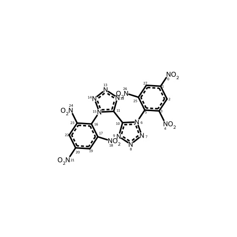 O=[N+]([O-])c1cc([N+](=O)[O-])c(-n2nnnc2-c2nnnn2-c2c([N+](=O)[O-])cc([N+](=O)[O-])cc2[N+](=O)[O-])c([N+](=O)[O-])c1